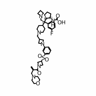 C=C(CN1CCOCC1)C(=O)N1CC(S(=O)(=O)c2cccc(N3CC(CN4CCC([C@@](CN5CCC5)(c5cccc(F)c5)[C@H]5CCC[C@@H]5NC(=O)O)CC4)C3)c2)C1